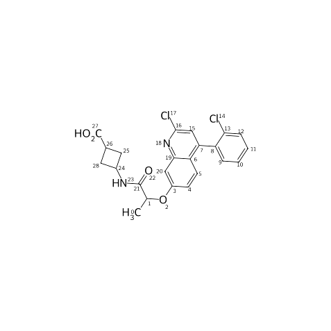 CC(Oc1ccc2c(-c3ccccc3Cl)cc(Cl)nc2c1)C(=O)NC1CC(C(=O)O)C1